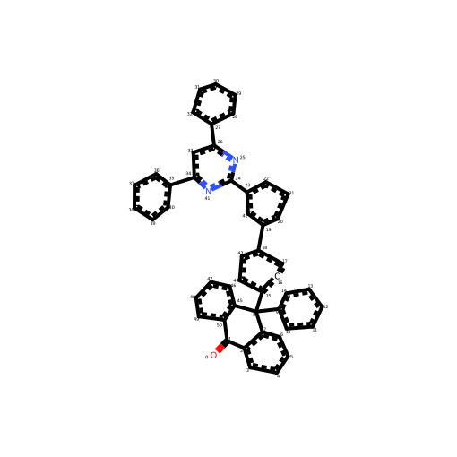 O=C1c2ccccc2C(c2ccccc2)(c2ccc(-c3cccc(-c4nc(-c5ccccc5)cc(-c5ccccc5)n4)c3)cc2)c2ccccc21